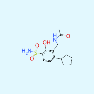 CC(=O)NCc1c(C2CCCC2)ccc(S(N)(=O)=O)c1O